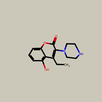 CCc1c(N2CCNCC2)c(=O)oc2cccc(O)c12